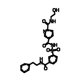 O=C(NCCc1ccccc1)c1cccc(S(=O)(=O)NC(=O)c2ccc(C(=O)NCCO)nc2)c1